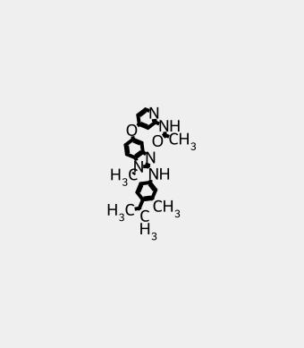 CC(=O)Nc1cc(Oc2ccc3c(c2)nc(Nc2ccc(C(C)C)c(C)c2)n3C)ccn1